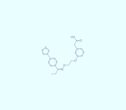 CCC(=NOCCOc1cccc(CC(=O)O)c1)c1ccc(-c2ccsc2)cc1